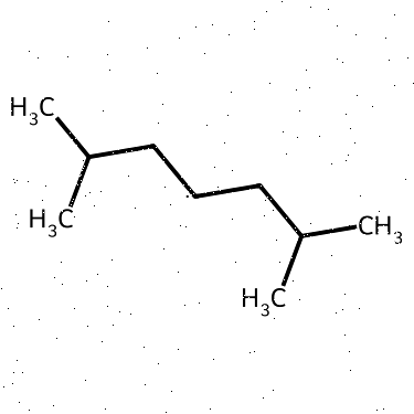 CC(C)C[CH]CC(C)C